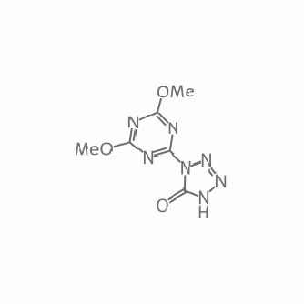 COc1nc(OC)nc(-n2nn[nH]c2=O)n1